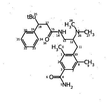 Cc1cc(C(N)=O)cc(C)c1CC(CNC(=O)CC(c1ccccc1)C(C)(C)C)N(C)C